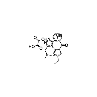 CCc1cc(C(=O)c2ccccc2)c(-n2c(CO)nnc2CN(C)C)s1.O=C(O)C(=O)O